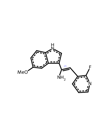 COc1ccc2[nH]cc(/C(N)=C/c3cccnc3F)c2c1